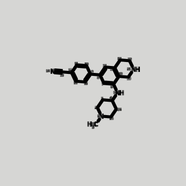 CN1CCC(Nc2cc(-c3ccc(C#N)cc3)cc3c2CNCC3)CC1